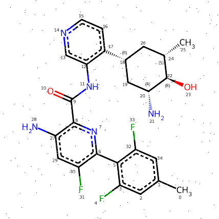 Cc1cc(F)c(-c2nc(C(=O)Nc3cnccc3[C@H]3C[C@@H](N)[C@H](O)[C@@H](C)C3)c(N)cc2F)c(F)c1